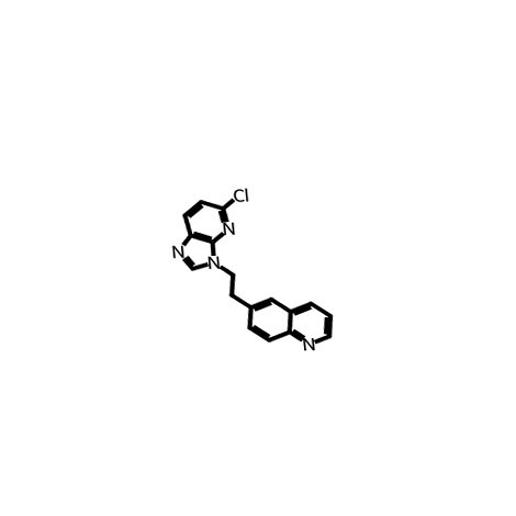 Clc1ccc2ncn(CCc3ccc4ncccc4c3)c2n1